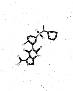 CN(c1ccccc1)S(=O)(=O)c1ccc(F)c(-n2c(=O)[nH]c3csc(C(=O)O)c3c2=O)c1